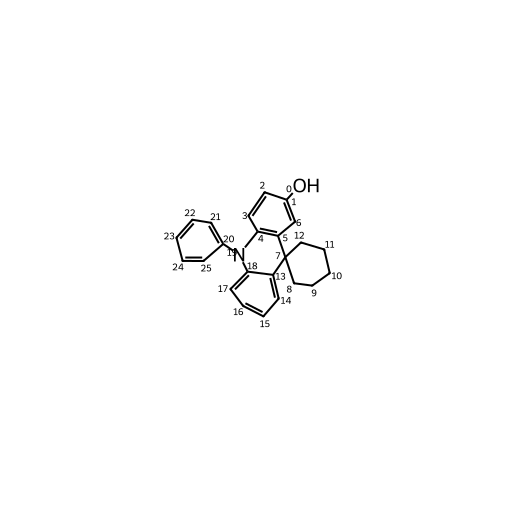 Oc1ccc2c(c1)C1(CCCCC1)c1ccccc1N2c1ccccc1